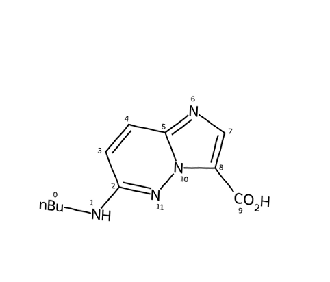 CCCCNc1ccc2ncc(C(=O)O)n2n1